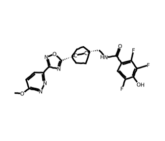 COc1ccc(-c2noc([C@]34CC[C@](CNC(=O)c5cc(F)c(O)c(F)c5F)(CC3)CC4)n2)nn1